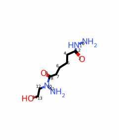 NNC(=O)CCCCC(=O)N(N)CCO